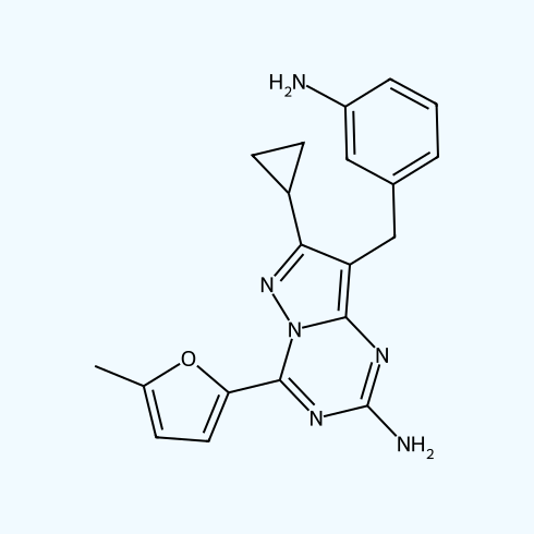 Cc1ccc(-c2nc(N)nc3c(Cc4cccc(N)c4)c(C4CC4)nn23)o1